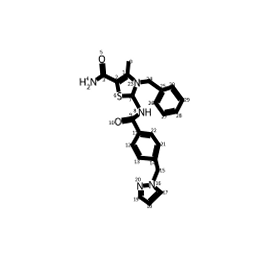 CC1=C(C(N)=O)SC(NC(=O)c2ccc(Cn3cccn3)cc2)N1Cc1ccccc1